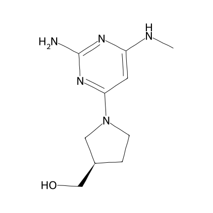 CNc1cc(N2CC[C@@H](CO)C2)nc(N)n1